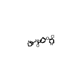 O=C(NC1CC2CCN(CC2)C1)c1ccc(Oc2cnccc2Cl)cc1